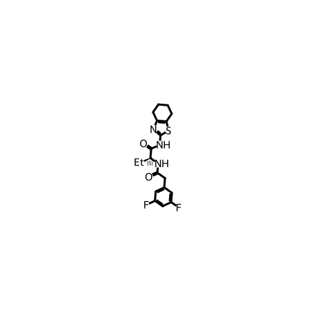 CC[C@H](NC(=O)Cc1cc(F)cc(F)c1)C(=O)Nc1nc2c(s1)CCCC2